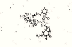 [N-]=[N+]=NCc1ccccc1C(=O)OC1C[C@H](n2cnc3c(=O)[nH]c(N)nc32)O[C@@H]1COP(=O)(O)OP(=O)(O)OP(=O)(O)O